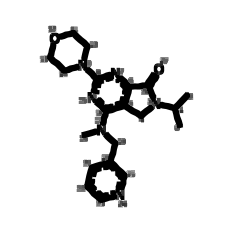 CC(C)N1Cc2c(nc(N3CCOCC3)nc2N(C)Cc2cccnc2)C1=O